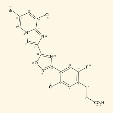 O=C(O)CCc1cc(Cl)c(-c2noc(-c3cn4cc(Br)cc(Cl)c4n3)n2)cc1F